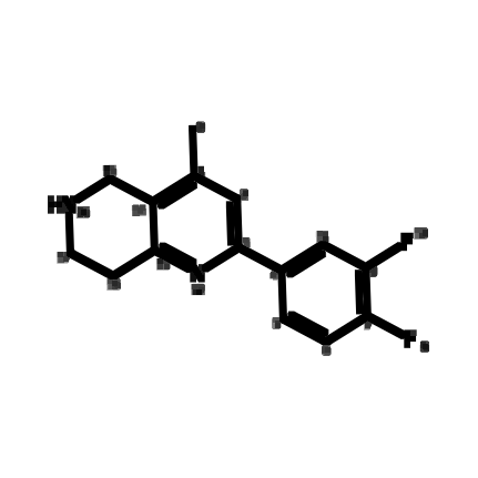 Cc1cc(-c2ccc(F)c(F)c2)nc2c1CNCC2